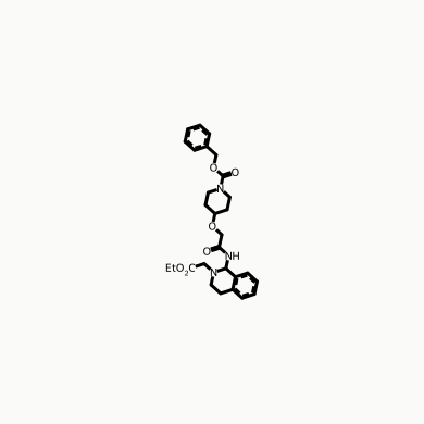 CCOC(=O)CN1CCc2ccccc2C1NC(=O)COC1CCN(C(=O)OCc2ccccc2)CC1